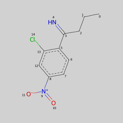 C[CH]CC(=N)c1ccc([N+](=O)[O-])cc1Cl